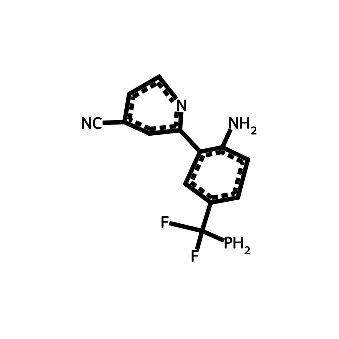 N#Cc1ccnc(-c2cc(C(F)(F)P)ccc2N)c1